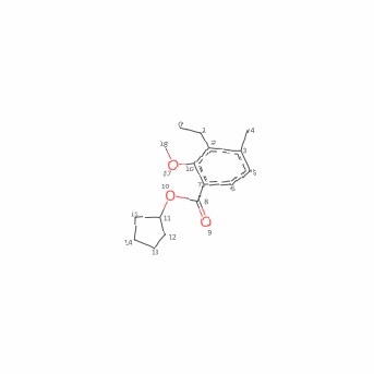 CCc1c(C)ccc(C(=O)OC2CCCC2)c1OC